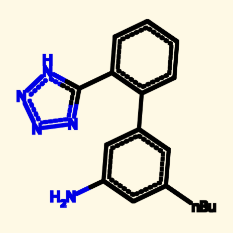 CCCCc1cc(N)cc(-c2ccccc2-c2nnn[nH]2)c1